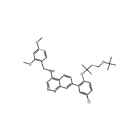 COc1ccc(CNc2cnnc3cc(-c4cc(Cl)ccc4OC(C)(C)CCOC(C)(C)C)ccc23)c(OC)c1